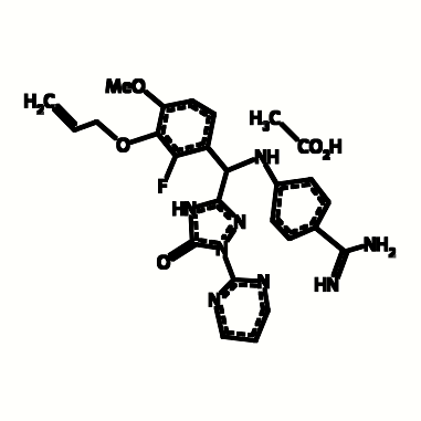 C=CCOc1c(OC)ccc(C(Nc2ccc(C(=N)N)cc2)c2nn(-c3ncccn3)c(=O)[nH]2)c1F.CC(=O)O